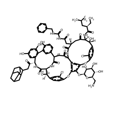 CC[C@H](CC(C)C)C(=O)N[C@H]1C(=O)C[C@@H](CC(=O)NC(=O)NCc2ccccc2)C(=O)N[C@H]2C(=O)C[C@H]3C(=O)N[C@H](C(=O)N[C@H](C(=O)CC4C5CC6CC(C5)CC4C6)c4cc(O)cc(O)c4-c4cc3ccc4O)[C@H](O)c3ccc(c(Cl)c3)Oc3cc2cc(c3O[C@@H]2O[C@H](CN)[C@@H](O)[C@H](O)[C@H]2O)Oc2ccc(cc2Cl)[C@H]1O